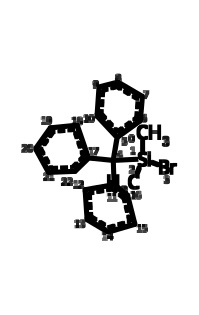 C[Si](C)(Br)C(c1ccccc1)(c1ccccc1)c1ccccc1